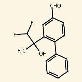 O=Cc1ccc(-c2ccccc2)c(C(O)(C(F)F)C(F)(F)F)c1